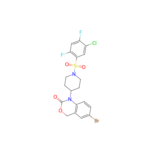 O=C1OCc2cc(Br)ccc2N1C1CCN(S(=O)(=O)c2cc(Cl)c(F)cc2F)CC1